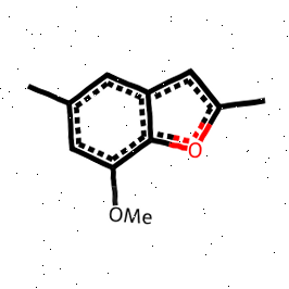 COc1cc(C)cc2cc(C)oc12